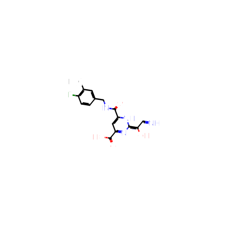 Cc1cc(CNC(=O)C2=CC(C(=O)O)=N/C(=C(\O)C=N)N2)ccc1F